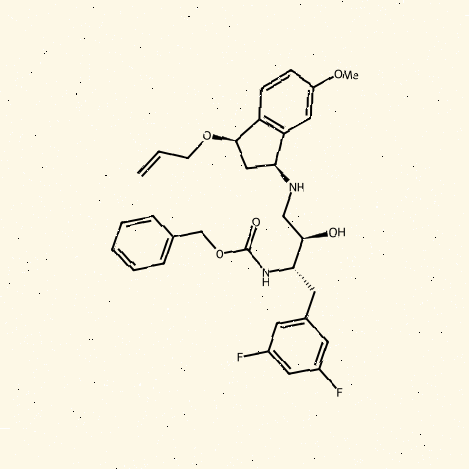 C=CCO[C@@H]1C[C@H](NC[C@@H](O)[C@H](Cc2cc(F)cc(F)c2)NC(=O)OCc2ccccc2)c2cc(OC)ccc21